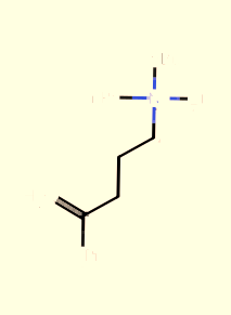 C=C(CCC[N+](CC)(CCC)CCCC)C(C)C